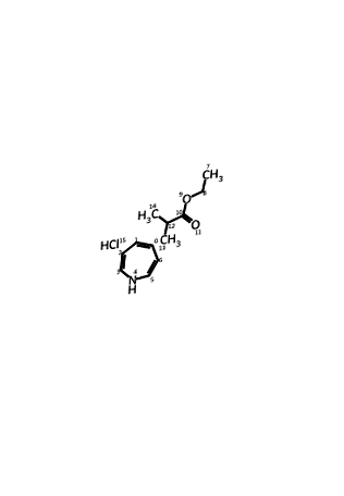 C1=CC=CNC=C1.CCOC(=O)C(C)C.Cl